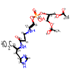 CCCC(=O)OCC(COC(=O)CC)OP(=O)(O)OCCNCCC(=O)NC(Cc1c[nH]cn1)C(=O)O